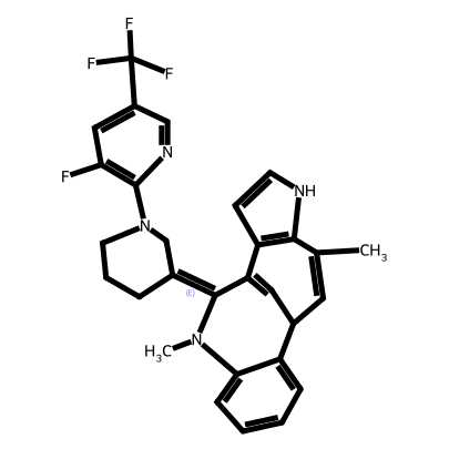 CC1=CC2C=C(/C(=C3/CCCN(c4ncc(C(F)(F)F)cc4F)C3)N(C)c3ccccc32)c2cc[nH]c21